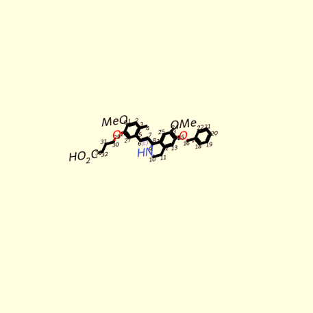 COc1cc(C)c(/C=C/C2NCCc3cc(OCc4ccccc4)c(OC)cc32)cc1OCCCC(=O)O